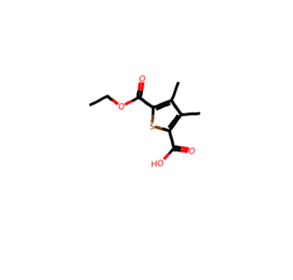 CCOC(=O)c1sc(C(=O)O)c(C)c1C